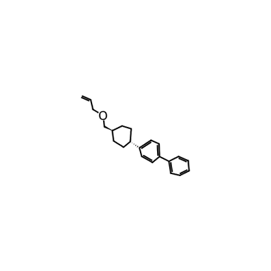 C=CCOC[C@H]1CC[C@H](c2ccc(-c3ccccc3)cc2)CC1